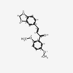 COc1ccc(OC)c(C(=O)C=Cc2ccc3c(c2)OCO3)c1